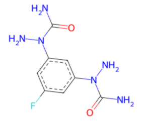 NC(=O)N(N)c1cc(F)cc(N(N)C(N)=O)c1